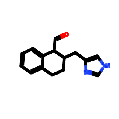 O=CC1c2ccccc2CCC1Cc1c[nH]cn1